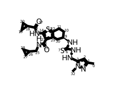 Cc1cc(NNC(=S)N[C@@H]2CCc3sc(NC(=O)C4CC4)c(C(=O)NCC4CC4)c3C2)n(C)n1